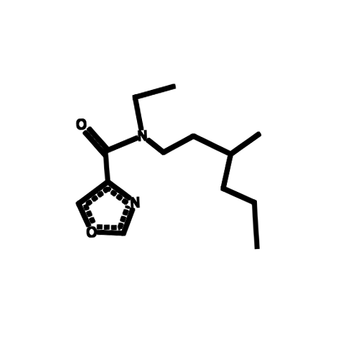 CCCC(C)CCN(CC)C(=O)c1cocn1